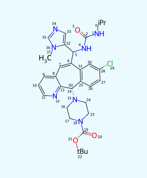 CC(C)NC(=O)NC(C1=Cc2cccnc2[C@@H](N2CCN(C(=O)OC(C)(C)C)CC2)c2ccc(Cl)cc21)c1cncn1C